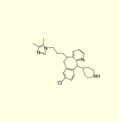 Cc1ncn(CCCC2Cc3cc(Cl)ccc3C(C3CCNCC3)c3ncccc32)c1C